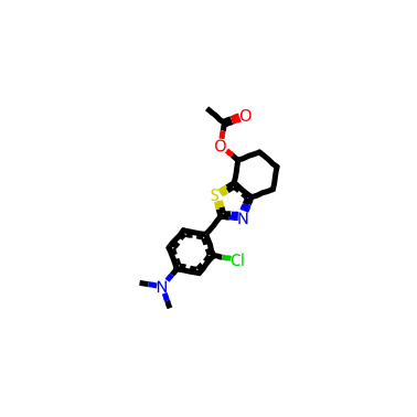 CC(=O)OC1CCCc2nc(-c3ccc(N(C)C)cc3Cl)sc21